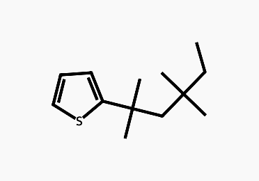 CCC(C)(C)CC(C)(C)c1cccs1